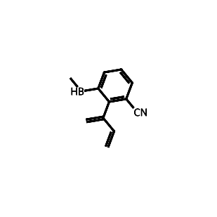 C=CC(=C)c1c(BC)cccc1C#N